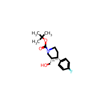 CC(C)(C)OC(=O)N1CC[C@H](c2ccc(F)cc2)[C@H](CO)C1